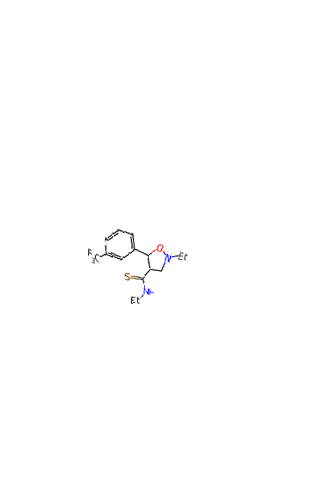 CCNC(=S)C1CN(CC)OC1c1cccc(C(F)(F)F)c1